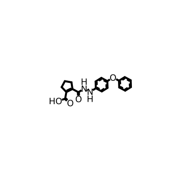 O=C(O)C1=C(C(=O)NNc2ccc(Oc3ccccc3)cc2)CCC1